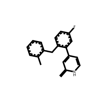 C=C1C=C(c2cc(F)ccc2Cc2ccccc2C)C=CN1